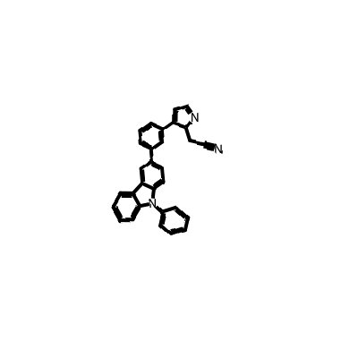 N#CCC1N=CC=C1c1cccc(-c2ccc3c(c2)c2ccccc2n3-c2ccccc2)c1